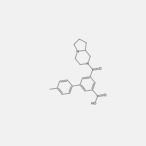 Cc1ccc(-c2cc(C(=O)O)cc(C(=O)N3CCN4CCCC4C3)c2)cc1